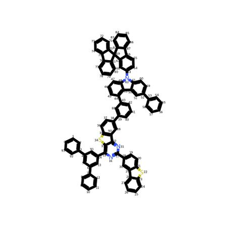 c1ccc(-c2cc(-c3ccccc3)cc(-c3nc(-c4ccc5sc6ccccc6c5c4)nc4c3sc3ccc(-c5cccc(-c6cccc7c6c6cc(-c8ccccc8)ccc6n7-c6ccc7c(c6)C6(c8ccccc8-c8ccccc86)c6ccccc6-7)c5)cc34)c2)cc1